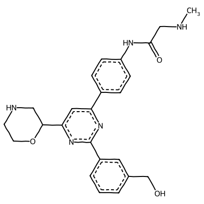 CNCC(=O)Nc1ccc(-c2cc(C3CNCCO3)nc(-c3cccc(CO)c3)n2)cc1